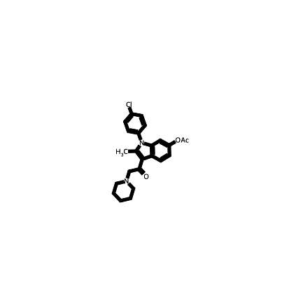 CC(=O)Oc1ccc2c(C(=O)CN3CCCCC3)c(C)n(-c3ccc(Cl)cc3)c2c1